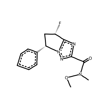 CON(C)C(=O)c1nc2n(n1)[C@H](c1ccccc1)C[C@@H]2F